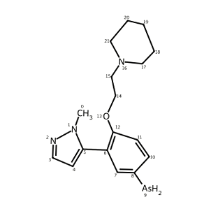 Cn1nccc1-c1cc([AsH2])ccc1OCCN1CCCCC1